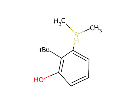 C[SH](C)c1cccc(O)c1C(C)(C)C